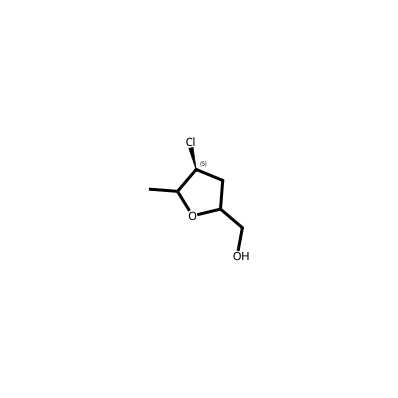 CC1OC(CO)C[C@@H]1Cl